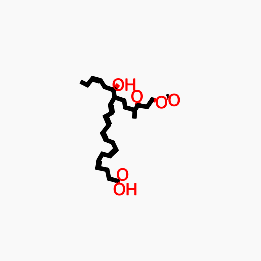 CC/C=C\CC(O)C(/C=C/C=C/C=C\C/C=C\C/C=C\CCC(=O)O)CCC(C)C(=O)CCOC=O